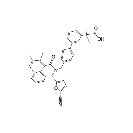 Cc1nc2ccccc2c(C(=O)N(Cc2ccc(-c3cccc(C(C)(C)C(=O)O)c3)cc2)Cc2ccc(C#N)o2)c1C